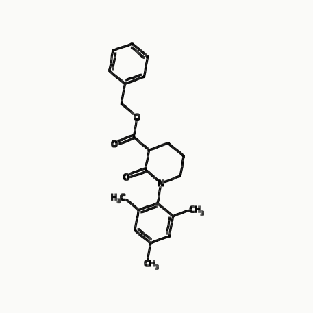 Cc1cc(C)c(N2CCCC(C(=O)OCc3ccccc3)C2=O)c(C)c1